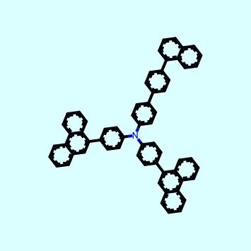 c1ccc2c(-c3ccc(-c4ccc(N(c5ccc(-c6cc7ccccc7c7ccccc67)cc5)c5ccc(-c6cc7ccccc7c7ccccc67)cc5)cc4)cc3)cccc2c1